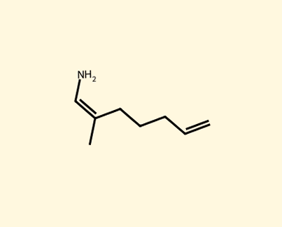 C=CCCC/C(C)=C\N